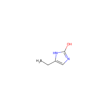 BCc1cnc(O)[nH]1